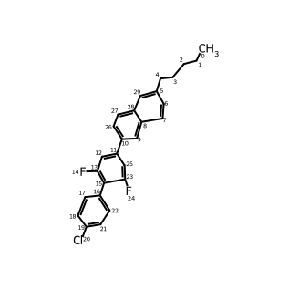 CCCCCc1ccc2cc(-c3cc(F)c(-c4ccc(Cl)cc4)c(F)c3)ccc2c1